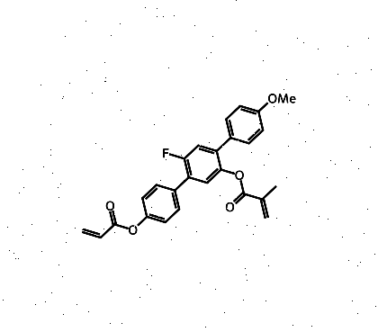 C=CC(=O)Oc1ccc(-c2cc(OC(=O)C(=C)C)c(-c3ccc(OC)cc3)cc2F)cc1